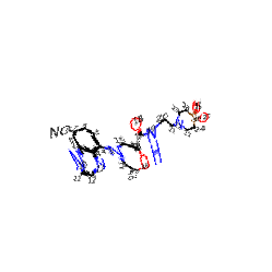 C[C@@H]1CN(c2ccc(C#N)c3nccnc23)C[C@H](C(=O)NCCN2CCS(=O)(=O)CC2)O1